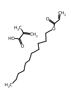 C=C(C)C(=O)O.C=CC(=O)OCCCCCCCCCCC